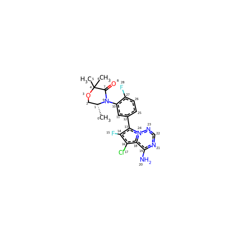 C[C@@H]1COC(C)(C)C(=O)N1c1cc(-c2c(F)c(Cl)c3c(N)ncnn23)ccc1F